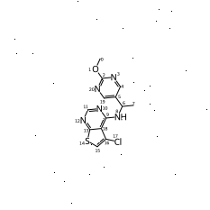 COc1ncc(C(C)Nc2ncnc3scc(Cl)c23)cn1